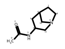 CC(=O)NC1CC2CCN(C2)C1